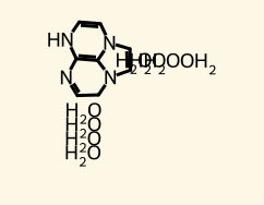 C1=CN2C=CN3CC=NC(=C23)N1.O.O.O.O.O.O.O.O